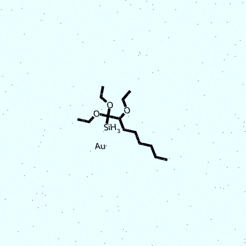 CCCCCCC(OCC)C([SiH3])(OCC)OCC.[Au]